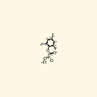 CCO[PH](=O)C(=O)Oc1c(F)cc(F)cc1F